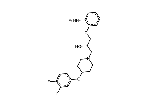 CC(=O)Nc1ccccc1OCC(O)CN1CCC(Oc2ccc(F)c(F)c2)CC1